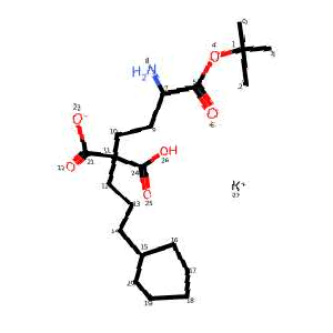 CC(C)(C)OC(=O)C(N)CCC(CCCC1CCCCC1)(C(=O)[O-])C(=O)O.[K+]